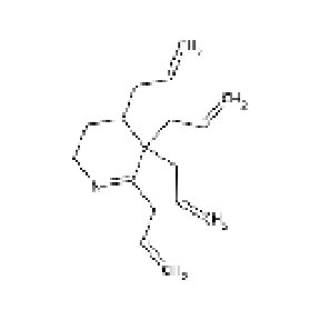 C=CCC1=NCCC(CC=C)C1(CC=C)CC=C